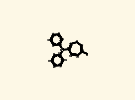 CC1=CCC=C(N(c2ccccc2)c2ccccc2)C=C1